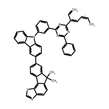 C=C/C(=C\C=C/C)c1nc(-c2ccccc2)nc(-c2cccc(-n3c4ccccc4c4cc(-c5ccc6c(c5)C(C)(C)c5ccc7ncsc7c5-6)ccc43)c2)n1